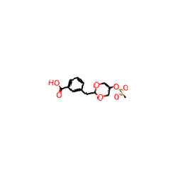 CS(=O)(=O)OC1COC(Cc2cccc(C(=O)O)c2)OC1